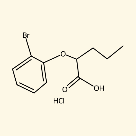 CCCC(Oc1ccccc1Br)C(=O)O.Cl